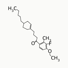 CCCCCC1CC=C(CCCC(=O)c2ccc(OCC)c(F)c2C)CC1